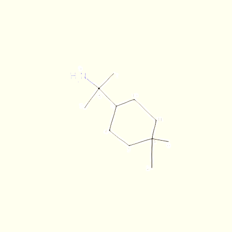 CC1(C)CCC(C(C)(C)N)CC1